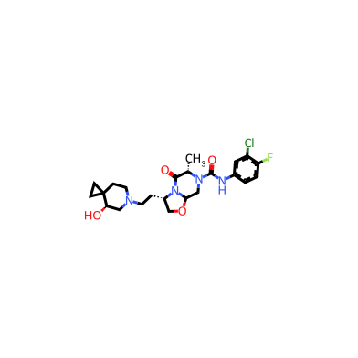 C[C@H]1C(=O)N2C(CN1C(=O)Nc1ccc(F)c(Cl)c1)OC[C@@H]2CCN1CCC2(CC2)[C@H](O)C1